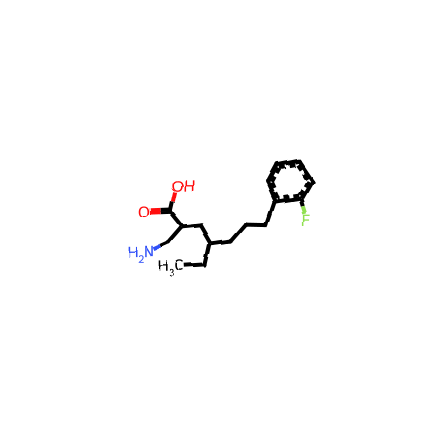 CCC(CCCc1ccccc1F)CC(CN)C(=O)O